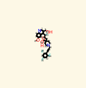 COc1ccc2ncc(CO)c([C@H](F)CCC3(C(=O)O)CCN(CC#Cc4c(F)cc(F)cc4F)CC3)c2c1